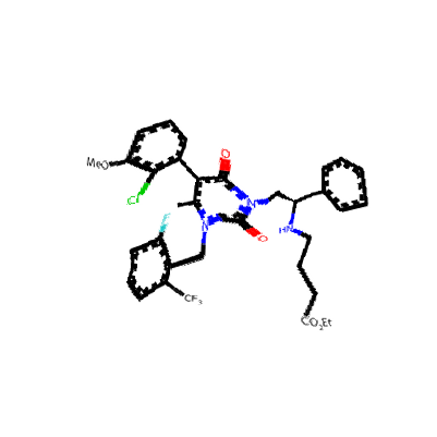 CCOC(=O)CCCN[C@@H](Cn1c(=O)c(-c2cccc(OC)c2Cl)c(C)n(Cc2c(F)cccc2C(F)(F)F)c1=O)c1ccccc1